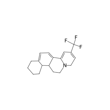 FC(F)(F)C1=CCN2CCC3C(=CC=C4CCCCC43)C2=C1